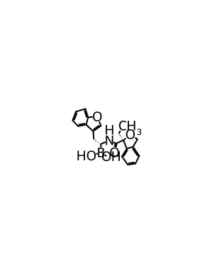 CC[C@]1(C(=O)N[C@@H](Cc2coc3ccccc23)B(O)O)OCc2ccccc21